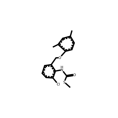 CSC(=O)Nc1c(Cl)cccc1COc1ccc(C)cc1C